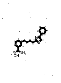 N/C(=N\O)c1cccc(CCCCc2nc(-c3ccccc3)cs2)c1